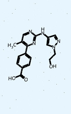 Cc1cnc(Nc2cnn(CCO)c2)nc1-c1ccc(C(=O)O)cc1